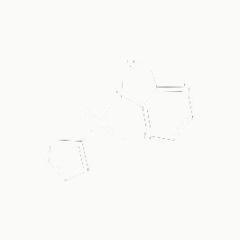 COc1nccnc1NS(=O)(=O)c1cccs1